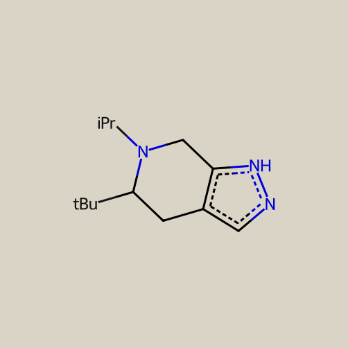 CC(C)N1Cc2[nH]ncc2CC1C(C)(C)C